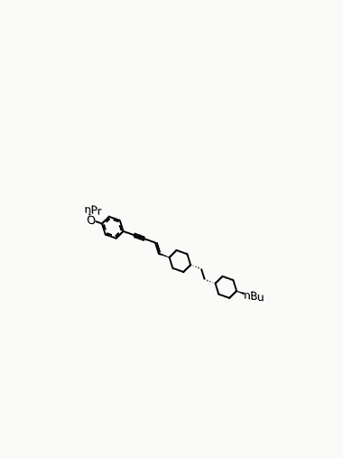 CCCC[C@H]1CC[C@H](CC[C@H]2CC[C@H](C=CC#Cc3ccc(OCCC)cc3)CC2)CC1